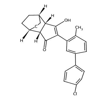 Cc1ccc(-c2ccc(Cl)cc2)cc1C1=C(O)[C@H]2[C@H]3CC[C@H](CC3)[C@H]2C1=O